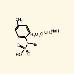 Cc1ccc(N(Br)S(=O)(=O)O)cc1.O.O.O.[NaH]